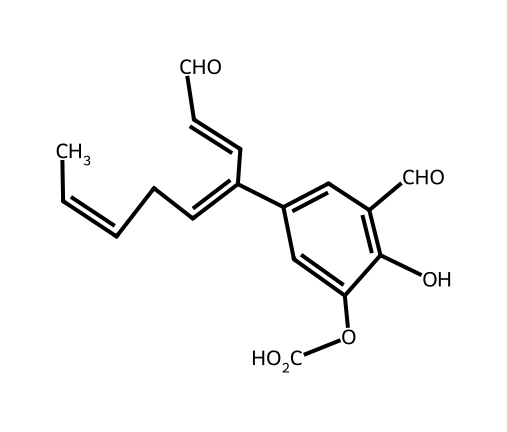 C/C=C\C/C=C(\C=C\C=O)c1cc(C=O)c(O)c(OC(=O)O)c1